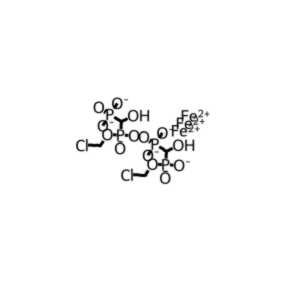 O=P([O-])([O-])C(O)P(=O)([O-])OCCl.O=P([O-])([O-])C(O)P(=O)([O-])OCCl.[Fe+2].[Fe+2].[Fe+2]